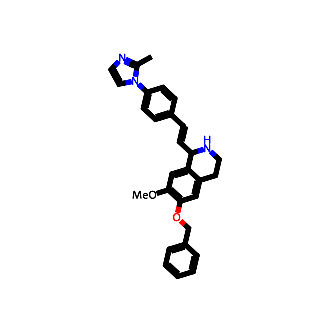 COc1cc2c(cc1OCc1ccccc1)CCNC2/C=C/c1ccc(-n2ccnc2C)cc1